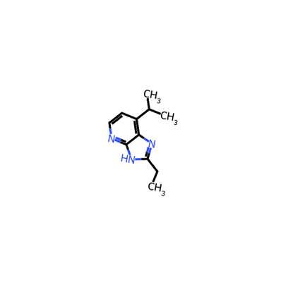 CCc1nc2c(C(C)C)ccnc2[nH]1